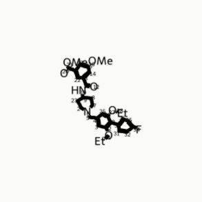 CCOc1cc(CN2CCC(NC(=O)c3cc(OC)cc(C(=O)OC)c3)CC2)cc(OCC)c1-c1ccc(F)cc1